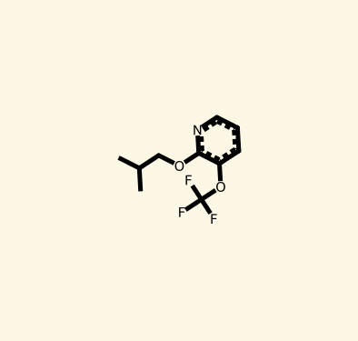 CC(C)COc1ncccc1OC(F)(F)F